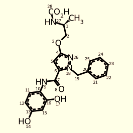 C[C@@H](COc1cc(C(=O)Nc2ccc(O)cc2O)n(Cc2ccccc2)n1)NC(=O)O